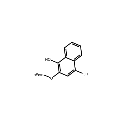 CCCCCOc1cc(O)c2ccccc2c1O